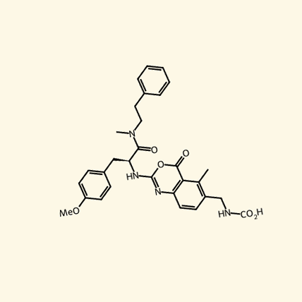 COc1ccc(C[C@H](Nc2nc3ccc(CNC(=O)O)c(C)c3c(=O)o2)C(=O)N(C)CCc2ccccc2)cc1